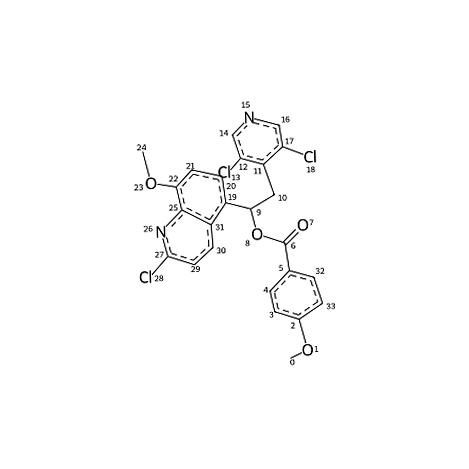 COc1ccc(C(=O)OC(Cc2c(Cl)cncc2Cl)c2ccc(OC)c3nc(Cl)ccc23)cc1